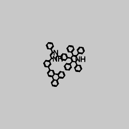 C1=C(c2ccccc2)N=C(c2ccc(C3=C(c4ccccc4)C(c4ccccc4)NC(c4ccccc4)=C3c3ccccc3)cc2)NC1c1cccc(-c2ccc3c4ccccc4c4ccccc4c3c2)c1